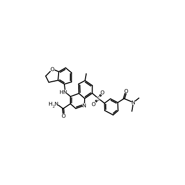 Cc1cc(S(=O)(=O)c2cccc(C(=O)N(C)C)c2)c2ncc(C(N)=O)c(Nc3cccc4c3CCO4)c2c1